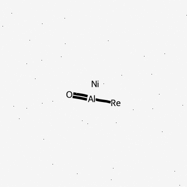 [Ni].[O]=[Al][Re]